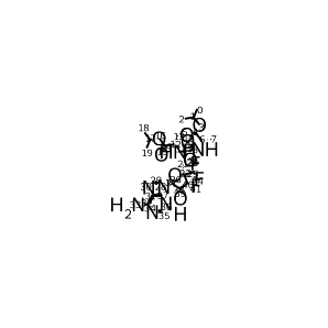 CC(C)OC(=O)[C@H](C)NP(=O)(N[C@@H](C)C(=O)OC(C)C)OC[C@@]1(C(F)F)O[C@@H](n2cnc3c(N)ncnc32)[C@H](O)[C@H]1F